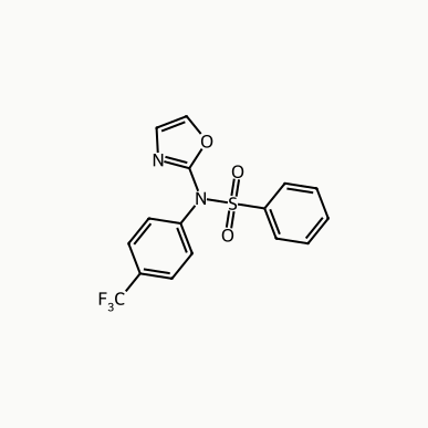 O=S(=O)(c1ccccc1)N(c1ccc(C(F)(F)F)cc1)c1ncco1